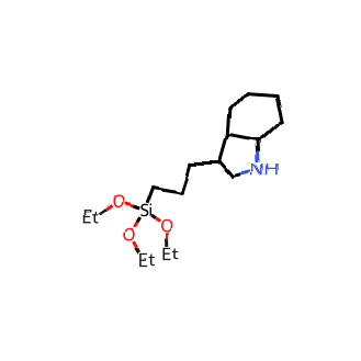 CCO[Si](CCCC1CNC2CCCCC12)(OCC)OCC